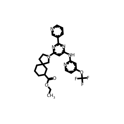 CCOC(=O)C1CCCC2(CCN(c3cc(Nc4cc(OC(F)(F)F)ccn4)nc(-c4cccnc4)n3)C2)C1